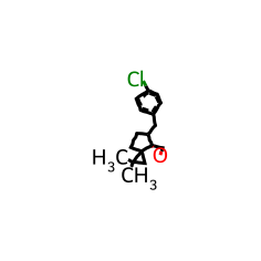 CC1(C)CC12CCC(Cc1ccc(Cl)cc1)C21CO1